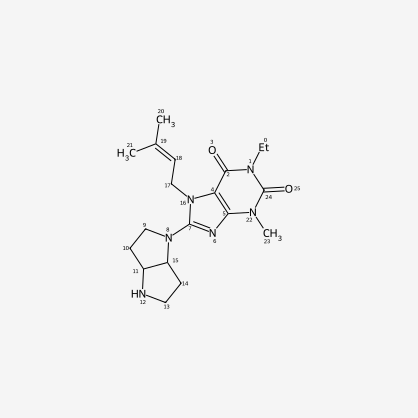 CCn1c(=O)c2c(nc(N3CCC4NCCC43)n2CC=C(C)C)n(C)c1=O